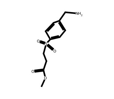 COC(=O)CCS(=O)(=O)c1ccc(CN)cc1